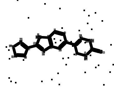 O=C1NCC(c2ccc3[nH]c(-c4cnsn4)nc3c2)=NN1